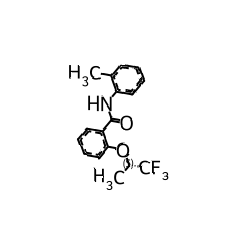 Cc1ccccc1NC(=O)c1ccccc1O[C@@H](C)C(F)(F)F